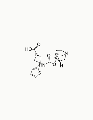 O=C(NC1(c2cccs2)CN(C(=O)O)C1)O[C@H]1CN2CCC1CC2